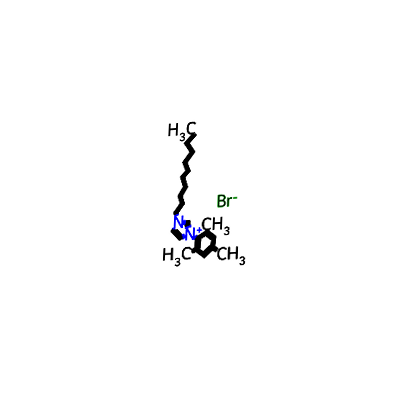 CCCCCCCCCCCn1cc[n+](-c2c(C)cc(C)cc2C)c1.[Br-]